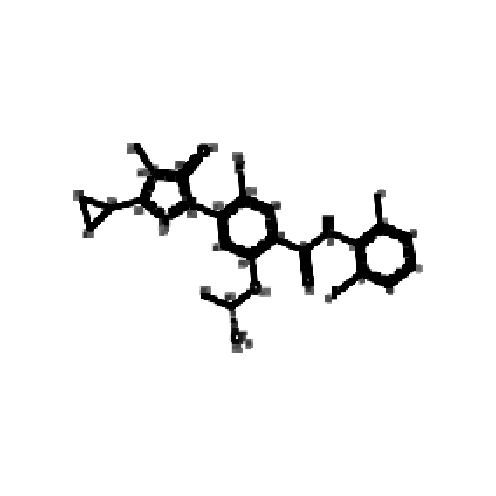 Cc1cccc(F)c1NC(=O)c1cc(F)c(-n2nc(C3CC3)n(C)c2=O)cc1O[C@@H](C)C(F)(F)F